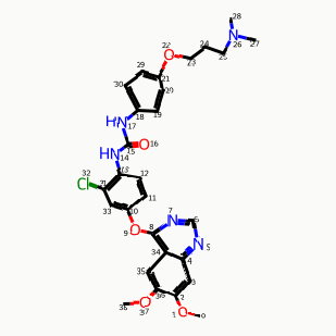 COc1cc2ncnc(Oc3ccc(NC(=O)Nc4ccc(OCCCN(C)C)cc4)c(Cl)c3)c2cc1OC